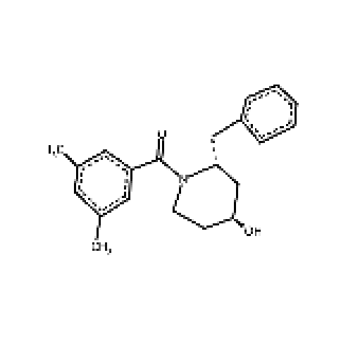 Cc1cc(C)cc(C(=O)N2CC[C@H](O)C[C@H]2Cc2ccccc2)c1